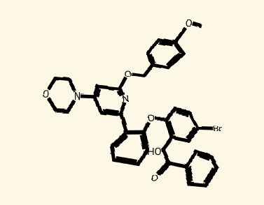 COc1ccc(COc2cc(N3CCOCC3)cc(-c3ccccc3Oc3ccc(Br)cc3C(O)C(=O)c3ccccc3)n2)cc1